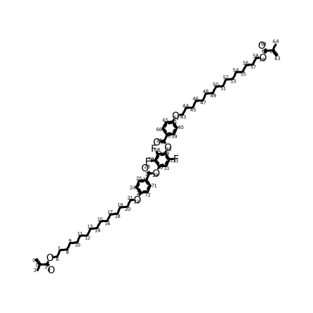 C=C(C)C(=O)OCCCCCCCCCCCCCCCCOc1ccc(C(=O)Oc2cc(F)c(OC(=O)c3ccc(OCCCCCCCCCCCCCCCCOC(=O)C(=C)C)cc3)c(F)c2F)cc1